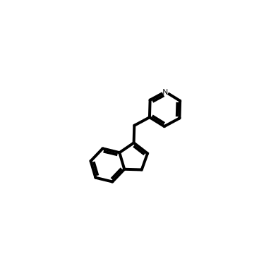 C1=C(Cc2cccnc2)c2ccccc2C1